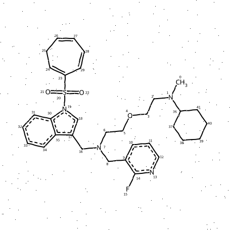 CN(CCOCCN(Cc1cccnc1F)Cc1cn(S(=O)(=O)C2=CCC=CC=C2)c2ccccc12)C1CCCCC1